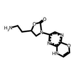 NCCC1CN(c2cnc3c(n2)NC=CO3)C(=O)O1